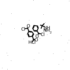 CC(=O)c1ccc(C(=O)Cl)cc1.CC(C)(C)NN.Cl.O=C(Cl)c1ccccc1